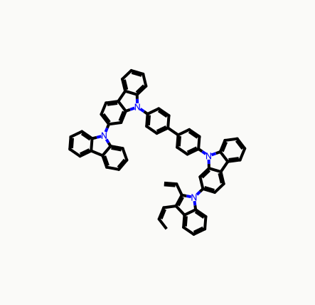 C=Cc1c(/C=C\C)c2ccccc2n1-c1ccc2c3ccccc3n(-c3ccc(-c4ccc(-n5c6ccccc6c6ccc(-n7c8ccccc8c8ccccc87)cc65)cc4)cc3)c2c1